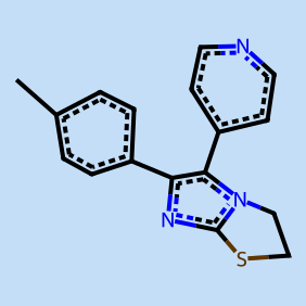 Cc1ccc(-c2nc3n(c2-c2ccncc2)CCS3)cc1